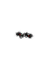 C=C(COCC(=C)C(=O)OC1(C)C2CC3CC(C2)CC1C3)C(=O)OC1(C)C2CC3CC(C2)CC1C3